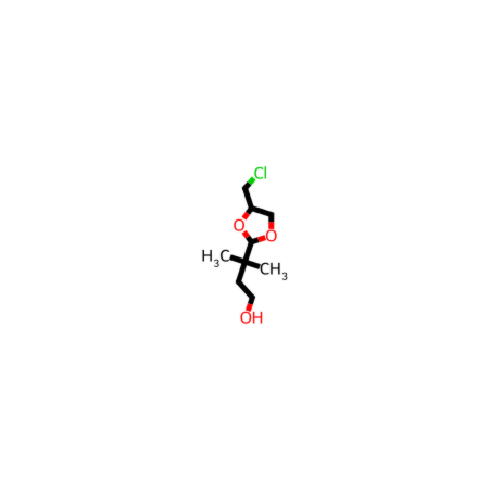 CC(C)(CCO)C1OCC(CCl)O1